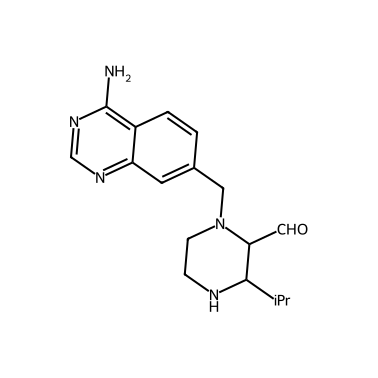 CC(C)C1NCCN(Cc2ccc3c(N)ncnc3c2)C1C=O